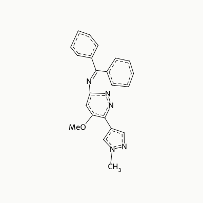 COc1cc(N=C(c2ccccc2)c2ccccc2)nnc1-c1cnn(C)c1